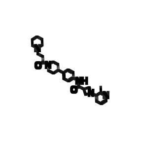 Cc1ncccc1N1CC(C(=O)Nc2ccc(C3CCN(C(=O)CCN4CCCCC4)CC3)cc2)C1